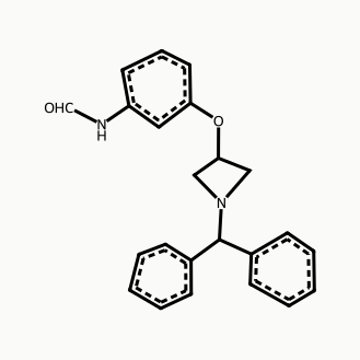 O=CNc1cccc(OC2CN(C(c3ccccc3)c3ccccc3)C2)c1